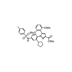 COC(=O)c1cc(-c2c(OC)cccc2OC)n(-c2ccc(NS(=O)(=O)c3ccc(C)cc3)cc2C2CCCC2)n1